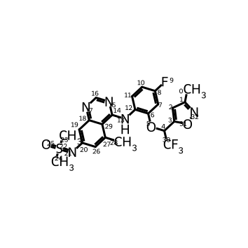 Cc1cc(C(Oc2cc(F)ccc2Nc2ncnc3cc(N=S(C)(C)=O)cc(C)c23)C(F)(F)F)on1